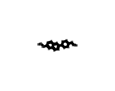 CCCCOc1ccc2cc(C3CCC(CC(C)CC)CC3)ccc2c1